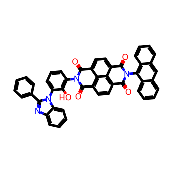 O=C1c2ccc3c4c(ccc(c24)C(=O)N1c1cccc(-n2c(-c4ccccc4)nc4ccccc42)c1O)C(=O)N(c1c2ccccc2cc2ccccc12)C3=O